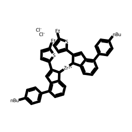 CCCCc1ccc(-c2cccc3c2C=C(c2ccc(CC)s2)[CH]3[Zr+2][CH]2C(c3ccc(CC)s3)=Cc3c(-c4ccc(CCCC)cc4)cccc32)cc1.[Cl-].[Cl-]